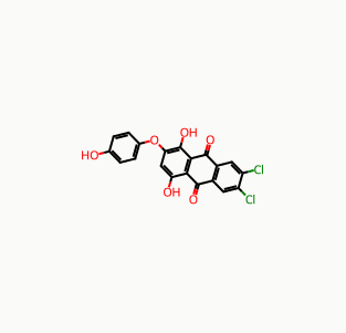 O=C1c2cc(Cl)c(Cl)cc2C(=O)c2c(O)c(Oc3ccc(O)cc3)cc(O)c21